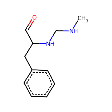 CNCNC(C=O)Cc1ccccc1